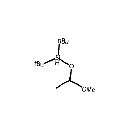 CCCC[SiH](OC(C)OC)C(C)(C)C